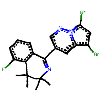 CC1(C)N=C(c2cnn3c(Br)cc(Br)c3c2)c2cccc(F)c2C1(C)C